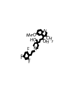 COc1ccc2ncc(C)c([C@@H](O)CCC3(CO)CCN(CCCc4c(F)cc(F)cc4F)CC3)c2c1